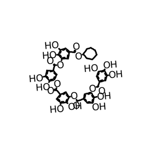 O=C(Oc1cc(C(=O)Oc2cc(C(=O)Oc3cc(C(=O)Oc4cc(C(=O)OC5CCCCCC5)cc(O)c4O)cc(O)c3O)cc(O)c2O)cc(O)c1O)c1cc(O)c(O)c(O)c1